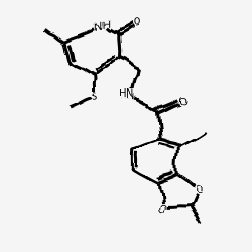 CSc1cc(C)[nH]c(=O)c1CNC(=O)c1ccc2c(c1C)OC(C)O2